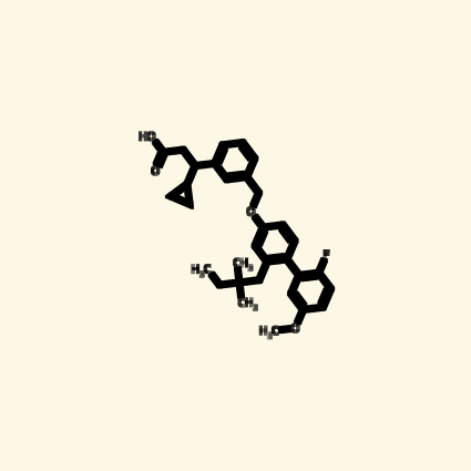 CCC(C)(C)Cc1cc(OCc2cccc(C(CC(=O)O)C3CC3)c2)ccc1-c1cc(OC)ccc1F